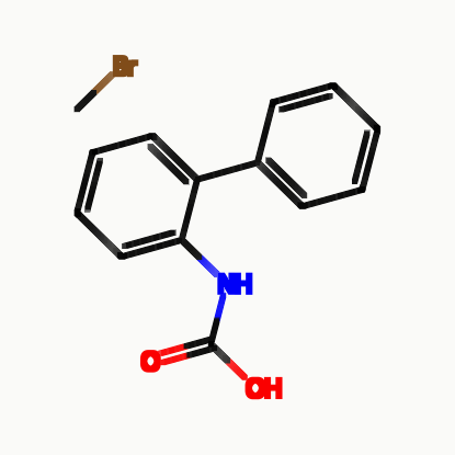 CBr.O=C(O)Nc1ccccc1-c1ccccc1